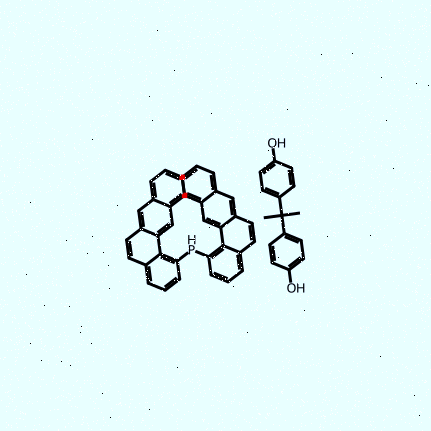 CC(C)(c1ccc(O)cc1)c1ccc(O)cc1.c1ccc2cc3c(ccc4cccc(Pc5cccc6ccc7cc8ccccc8cc7c56)c43)cc2c1